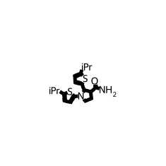 CC(C)c1ccc(C2C(C(N)=O)CCN2c2ccc(C(C)C)s2)s1